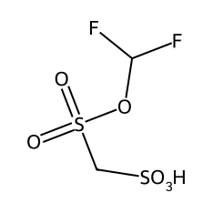 O=S(=O)(O)CS(=O)(=O)OC(F)F